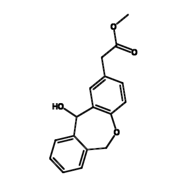 COC(=O)Cc1ccc2c(c1)C(O)c1ccccc1CO2